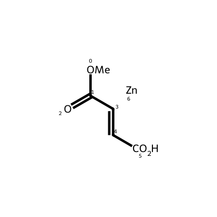 COC(=O)/C=C/C(=O)O.[Zn]